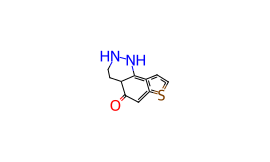 O=C1C=c2sccc2=C2NNCCC12